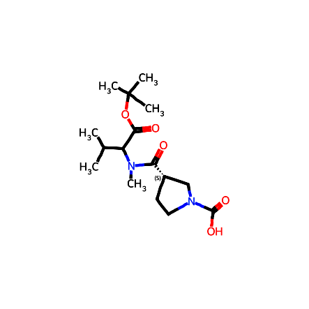 CC(C)C(C(=O)OC(C)(C)C)N(C)C(=O)[C@H]1CCN(C(=O)O)C1